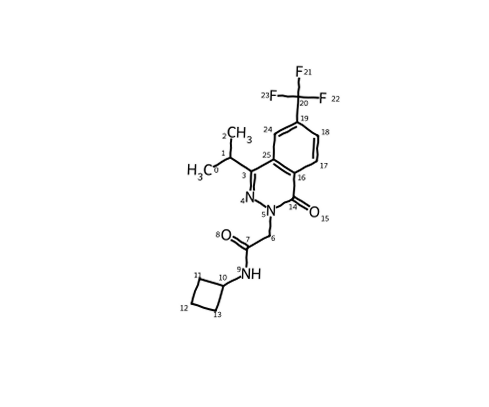 CC(C)c1nn(CC(=O)NC2CCC2)c(=O)c2ccc(C(F)(F)F)cc12